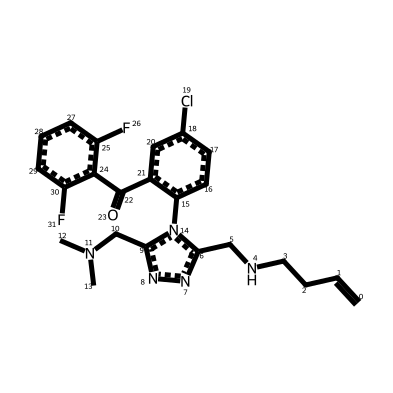 C=CCCNCc1nnc(CN(C)C)n1-c1ccc(Cl)cc1C(=O)c1c(F)cccc1F